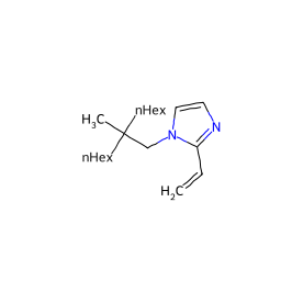 C=Cc1nccn1CC(C)(CCCCCC)CCCCCC